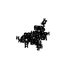 CO[C@@H]1OC(C(=O)NCC2CC3CCC2C3)[C@@H](OC(CO)OC(C(=O)O)[C@H](CO)O[C@@H]2OC(C(=O)NCC3CC4CCC3C4)[C@@H](O[C@@H]3OC(C(=O)O)[C@@H](OC)C(O)C3O)C(O)C2O)C(O)C1O